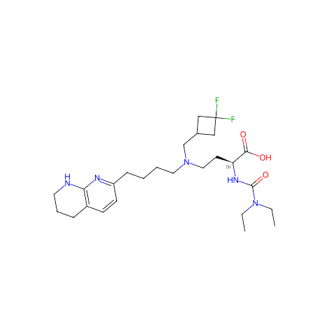 CCN(CC)C(=O)N[C@@H](CCN(CCCCc1ccc2c(n1)NCCC2)CC1CC(F)(F)C1)C(=O)O